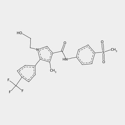 Cc1c(C(=O)Nc2ccc(S(C)(=O)=O)cc2)cn(CCO)c1-c1ccc(C(F)(F)F)cc1